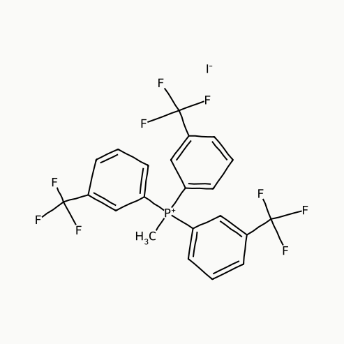 C[P+](c1cccc(C(F)(F)F)c1)(c1cccc(C(F)(F)F)c1)c1cccc(C(F)(F)F)c1.[I-]